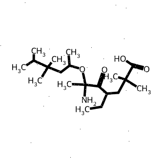 CCC(CC(C)(C)C(=O)O)C(=O)C(C)(N)OC(C)CC(C)(C)C(C)C